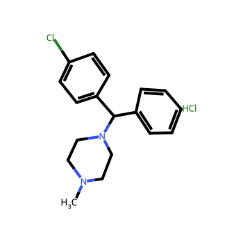 CN1CCN(C(c2ccccc2)c2ccc(Cl)cc2)CC1.Cl